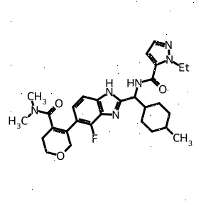 CCn1nccc1C(=O)NC(c1nc2c(F)c(C3=C(C(=O)N(C)C)CCOC3)ccc2[nH]1)C1CCC(C)CC1